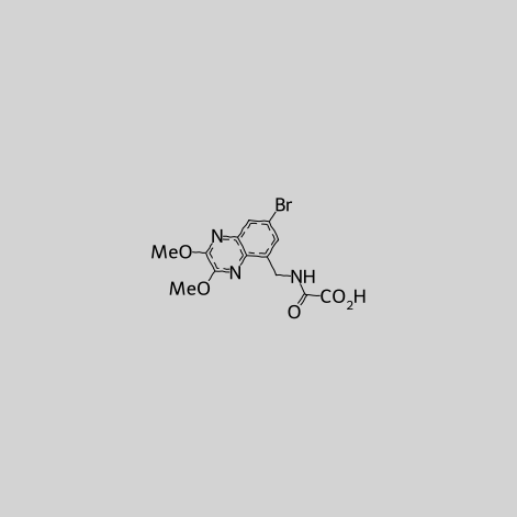 COc1nc2cc(Br)cc(CNC(=O)C(=O)O)c2nc1OC